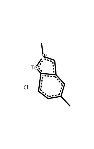 Cc1ccc2[te][n+](C)cc2c1.[Cl-]